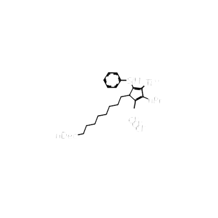 CCCCCCCCCCCCCCCCCCC1C(C)=C(CCC)[C]([Ti+3])=C1[SiH2]c1ccccc1.[Cl-].[Cl-].[Cl-]